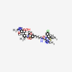 COc1cc(C(CC(=O)O)c2ccc(C)c(CN3C[C@@H](C)Oc4cc(CCCCCNC(=O)C[C@@H]5N=C(c6ccc(Cl)cc6)c6c(sc(C)c6C)-n6c(C)nnc65)ccc4S3(=O)=O)c2)cc2nnn(C)c12